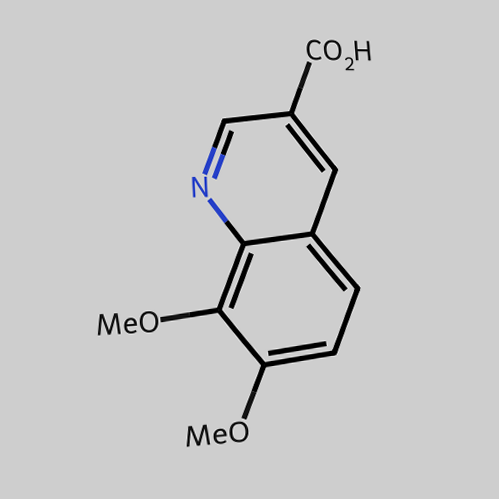 COc1ccc2cc(C(=O)O)cnc2c1OC